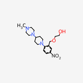 CN1CCN(C2CCN(c3ccc([N+](=O)[O-])cc3COCCO)CC2)CC1